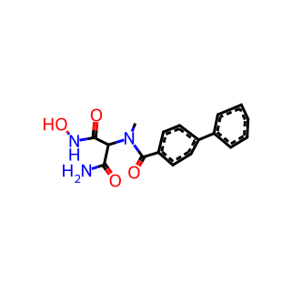 CN(C(=O)c1ccc(-c2ccccc2)cc1)C(C(N)=O)C(=O)NO